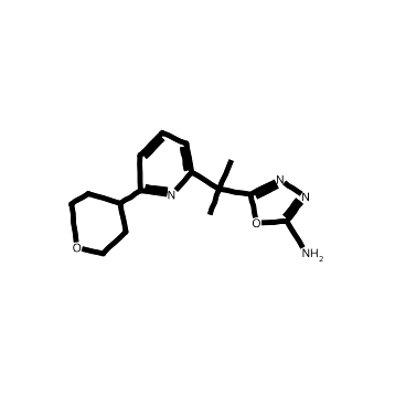 CC(C)(c1cccc(C2CCOCC2)n1)c1nnc(N)o1